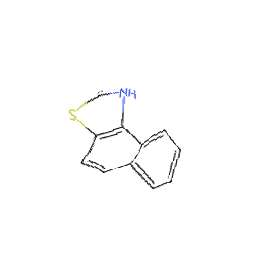 [C]1Nc2c(ccc3ccccc23)S1